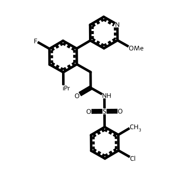 COc1cc(-c2cc(F)cc(C(C)C)c2CC(=O)NS(=O)(=O)c2cccc(Cl)c2C)ccn1